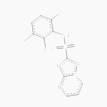 Cc1ccc(F)c(NS(=O)(=O)c2nc3ncccn3n2)c1F